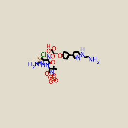 C[n+]1cc(-c2ccc(OC[C@H](O/N=C(\C(=O)NC3C(=O)N(OS(=O)(=O)[O-])C3(C)C)c3nc(N)sc3Cl)C(=O)O)cc2)ccc1NCCN